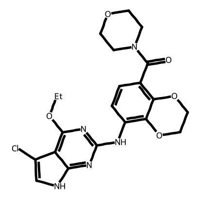 CCOc1nc(Nc2ccc(C(=O)N3CCOCC3)c3c2OCCO3)nc2[nH]cc(Cl)c12